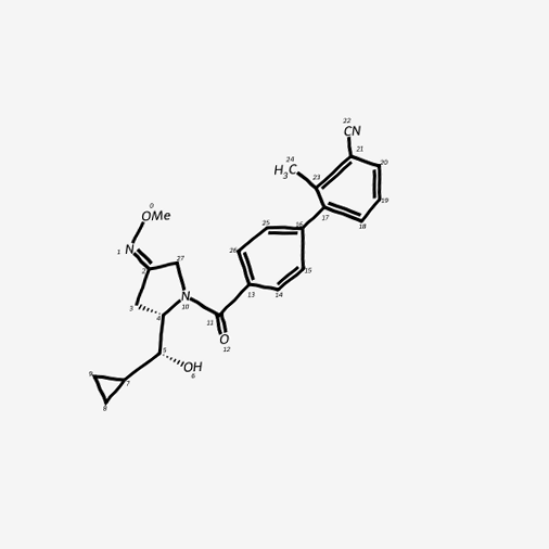 CO/N=C1/C[C@@H]([C@H](O)C2CC2)N(C(=O)c2ccc(-c3cccc(C#N)c3C)cc2)C1